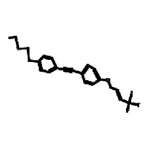 CCCCCc1ccc(C#Cc2ccc(OC/C=C/C(F)(F)F)cc2)cc1